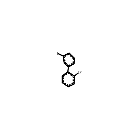 Brc1ccccc1-c1cccc(I)c1